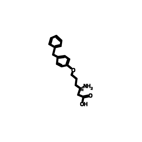 N[C@@H](CCCOc1ccc(Cc2ccccc2)cc1)CC(=O)O